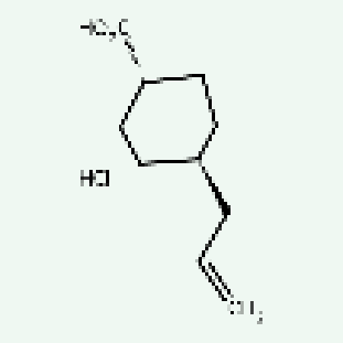 C=CC[C@H]1CC[C@H](C(=O)O)CC1.Cl